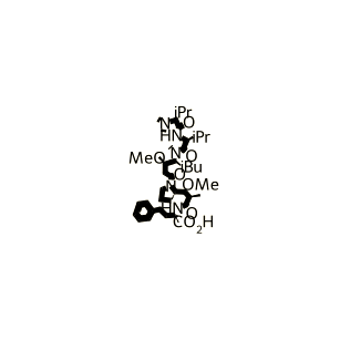 CC[C@H](C)[C@@H]([C@@H](CC(=O)N1CCC[C@H]1[C@H](OC)[C@@H](C)C(=O)N[C@@H](CCc1ccccc1)C(=O)O)OC)N(C)C(=O)[C@@H](NC(=O)[C@H](C(C)C)N(C)C)C(C)C